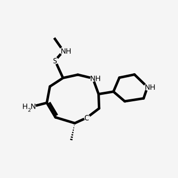 CNSC1CNC(C2CCNCC2)CC[C@H](C)/C=C(/N)C1